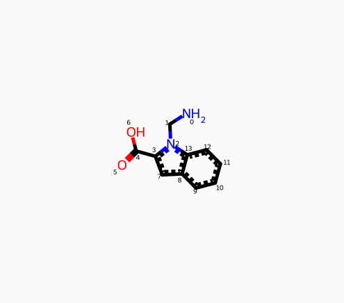 NCn1c(C(=O)O)cc2ccccc21